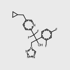 OC(Cn1cnnn1)(c1ccc(F)cc1F)C(F)(F)c1ccc(CC2CC2)cn1